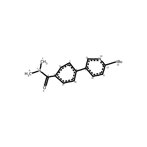 CN(C)C(=O)c1ccc(-c2ccc(C(C)(C)C)nc2)cc1